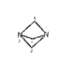 C1N2CN1C2